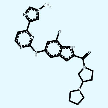 Cn1cnc(-c2ccnc(Nc3cc(Cl)c4[nH]c(C(=O)N5CCC(N6CCCC6)C5)cc4c3)n2)c1